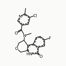 Cc1ncc(C(=O)N(C)C2COCc3[nH]c(=O)c4cc(F)ccc4c32)cc1Cl